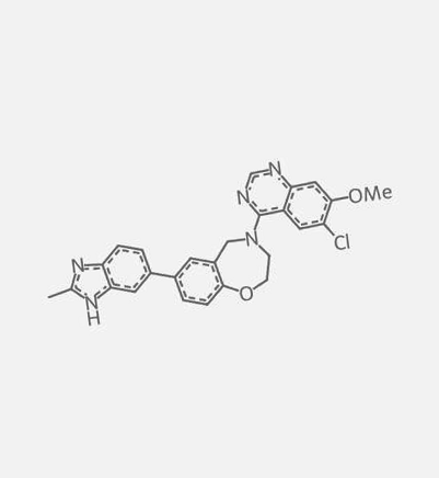 COc1cc2ncnc(N3CCOc4ccc(-c5ccc6nc(C)[nH]c6c5)cc4C3)c2cc1Cl